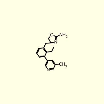 Cc1cncc(-c2cccc3c2CC[C@@]2(COC(N)=N2)C3)c1